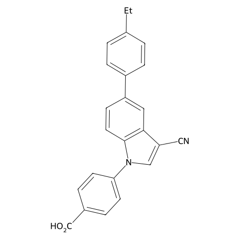 CCc1ccc(-c2ccc3c(c2)c(C#N)cn3-c2ccc(C(=O)O)cc2)cc1